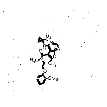 COc1ccccc1OCCN(C)C(=O)c1c(C)oc2ncnc(NC3(C)CC3)c12